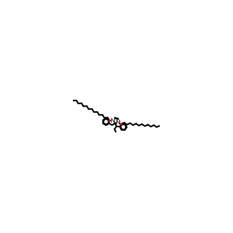 CCCCCCCCCCCCCCCN1C=CN(CCCCCCCCCCCCCC)C1(Cc1ccccc1)C(CC)c1ccccc1